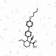 CCCCOc1ccc(-c2ccc(C3C(CC)CCCC3(C#N)C(=O)O)cc2)cc1